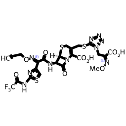 C#CCO/N=C(/C(=O)NC1C(=O)N2C(C(=O)O)=C(CSc3nnnn3C/C(=N\OC)C(=O)O)CS[C@H]12)c1csc(NC(=O)C(F)(F)F)n1